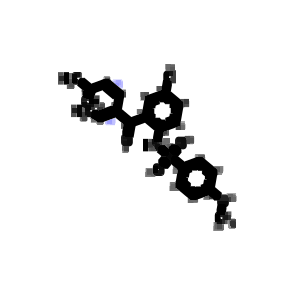 C=C(C)/C=C\C(=C/C)C(=O)c1cc(Cl)ccc1NS(=O)(=O)c1ccc(OC(F)(F)F)cc1